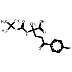 CC(C)(C)OC(=O)NC(C)(CCC(=O)c1ccc(F)cc1)C(=O)O